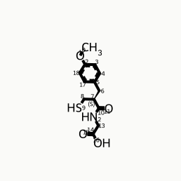 COc1ccc(C[C@H](CS)C(=O)NCC(=O)O)cc1